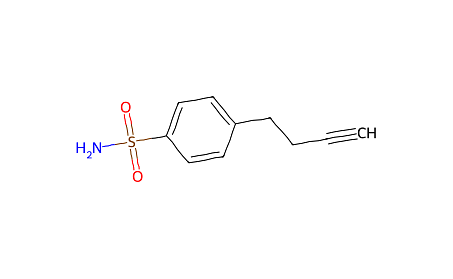 C#CCCc1ccc(S(N)(=O)=O)cc1